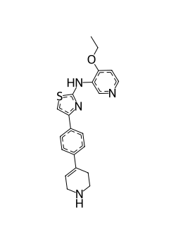 CCOc1ccncc1Nc1nc(-c2ccc(C3=CCNCC3)cc2)cs1